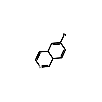 BrC1=CC2C=CN=CC2C=C1